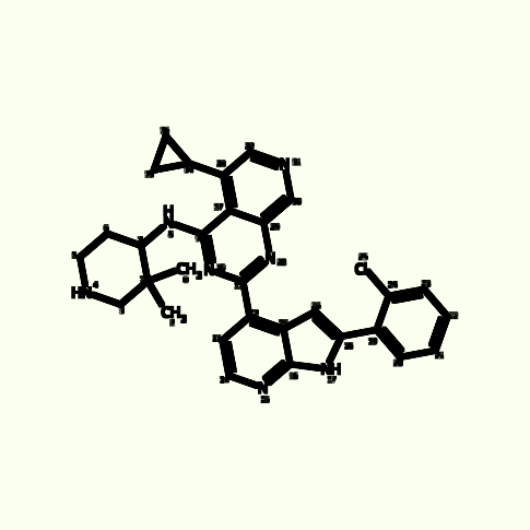 CC1(C)CNCCC1Nc1nc(-c2ccnc3[nH]c(-c4ccccc4Cl)cc23)nc2cncc(C3CC3)c12